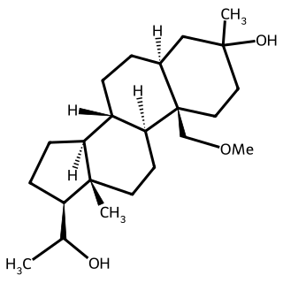 COC[C@]12CCC(C)(O)C[C@@H]1CC[C@H]1[C@@H]3CC[C@H](C(C)O)[C@@]3(C)CC[C@@H]12